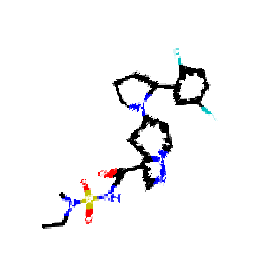 CCN(C)S(=O)(=O)NC(=O)c1cnn2ccc(N3CCCC3c3cc(F)ccc3F)cc12